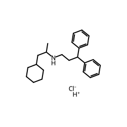 CC(CC1CCCCC1)NCCC(c1ccccc1)c1ccccc1.[Cl-].[H+]